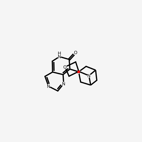 O=c1[nH]cc2cncnc2c1N1CC2CC(C1)N2C1COC1